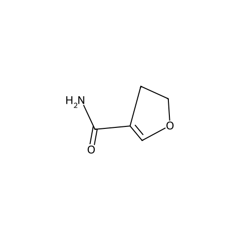 NC(=O)C1=COCC1